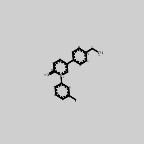 Cc1cccc(-n2cc(-c3ccc(CO)cc3)ccc2=O)c1